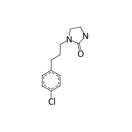 O=C1[N]CCN1CCCc1ccc(Cl)cc1